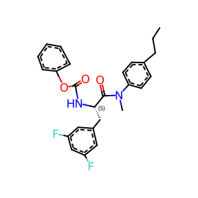 CCCc1ccc(N(C)C(=O)[C@H](Cc2cc(F)cc(F)c2)NC(=O)Oc2ccccc2)cc1